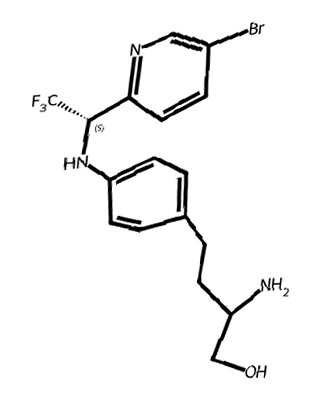 NC(CO)CCc1ccc(N[C@@H](c2ccc(Br)cn2)C(F)(F)F)cc1